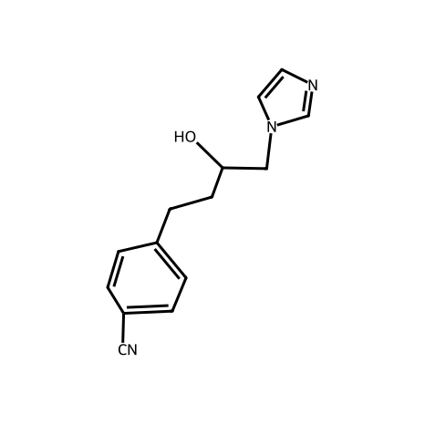 N#Cc1ccc(CCC(O)Cn2ccnc2)cc1